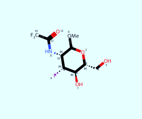 COC1O[C@H](CO)[C@@H](O)[C@H](I)[C@@H]1NC(=O)C(F)(F)F